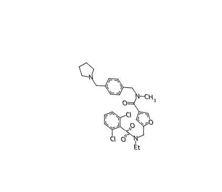 CCN(Cc1cc(C(=O)N(C)Cc2ccc(CN3CCCC3)cc2)co1)S(=O)(=O)c1c(Cl)cccc1Cl